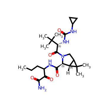 CCCC(NC(=O)[C@@H]1[C@@H]2C(CN1C(=O)[C@@H](NC(=O)NC1CC1)C(C)(C)C)C2(C)C)C(=O)C(N)=O